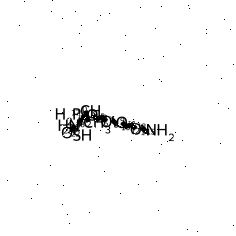 CC(C)(OCCOCCOCCOCCN)C(P)CNC(=O)S